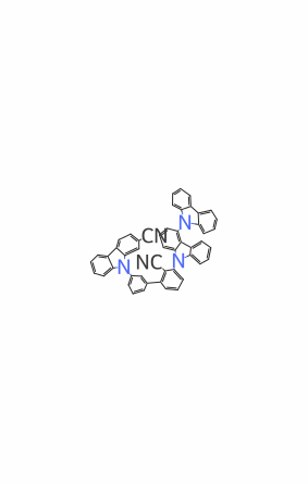 N#Cc1ccc2c3ccccc3n(-c3cccc(-c4cccc(-n5c6ccccc6c6c(-n7c8ccccc8c8ccccc87)cccc65)c4C#N)c3)c2c1